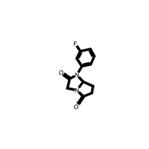 O=C1CCC2N1CC(=O)N2c1cccc(F)c1